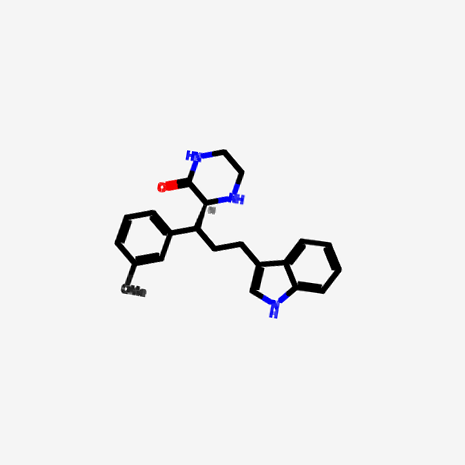 COc1cccc(C(CCc2c[nH]c3ccccc23)[C@@H]2NCCNC2=O)c1